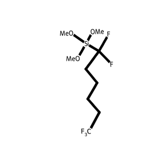 CO[Si](OC)(OC)C(F)(F)CCCCC(F)(F)F